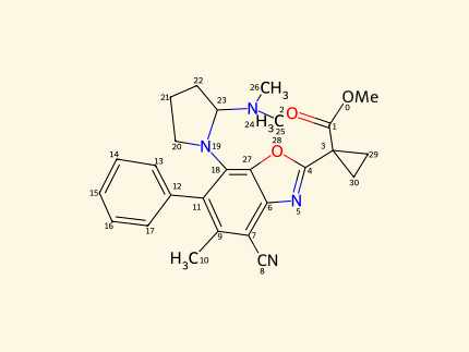 COC(=O)C1(c2nc3c(C#N)c(C)c(-c4ccccc4)c(N4CCCC4N(C)C)c3o2)CC1